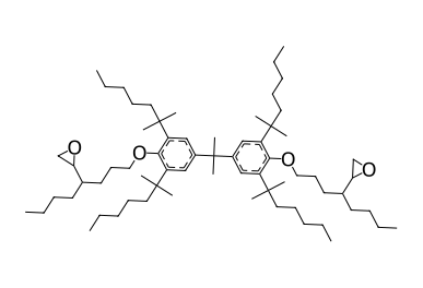 CCCCCC(C)(C)c1cc(C(C)(C)c2cc(C(C)(C)CCCCC)c(OCCCC(CCCC)C3CO3)c(C(C)(C)CCCCC)c2)cc(C(C)(C)CCCCC)c1OCCCC(CCCC)C1CO1